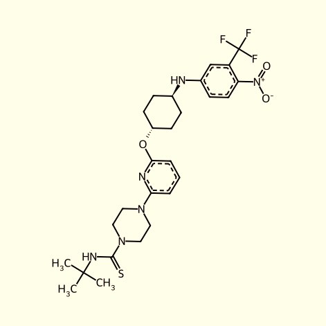 CC(C)(C)NC(=S)N1CCN(c2cccc(O[C@H]3CC[C@H](Nc4ccc([N+](=O)[O-])c(C(F)(F)F)c4)CC3)n2)CC1